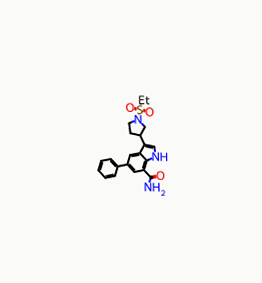 CCS(=O)(=O)N1CCC(c2c[nH]c3c(C(N)=O)cc(-c4ccccc4)cc23)C1